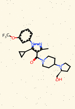 Cc1nn(-c2cccc(OC(F)(F)F)c2)c(C2CC2)c1C(=O)N1CCC(N2CCC[C@H]2CO)CC1